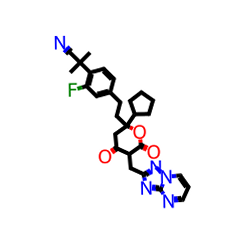 CC(C)(C#N)c1ccc(CCC2(C3CCCC3)CC(=O)C(Cc3nc4ncccn4n3)C(=O)O2)cc1F